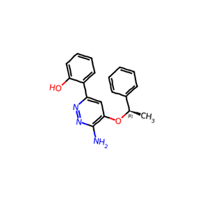 C[C@@H](Oc1cc(-c2ccccc2O)nnc1N)c1ccccc1